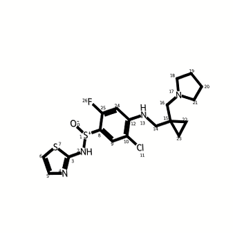 [O-][S+](Nc1nccs1)c1cc(Cl)c(NCC2(CN3CCCC3)CC2)cc1F